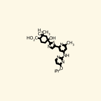 Cc1cc(Nc2nccc(OC(C)C)n2)cc(-c2cnc(C3(O)CCC(C(=O)O)C(C)(C)C3)s2)n1